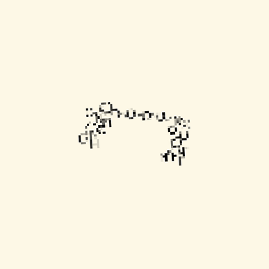 CC1(C)CN(CCOCCOCCOCCOc2cccc3c2C(=O)N(C2CCC(=O)NC2=O)C3=O)C(=O)C1Oc1ccc(C#N)c(C(F)(F)F)c1